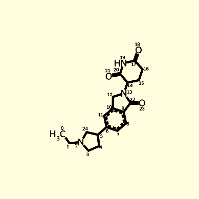 CCN1CCC(c2ccc3c(c2)CN(C2CCC(=O)NC2=O)C3=O)C1